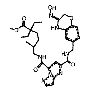 CCC(CC)(CCC(C)CNC(=O)c1cc(C(=O)NCc2ccc3c(c2)N/C(=N/O)CO3)nc2ccnn12)C(=O)OC